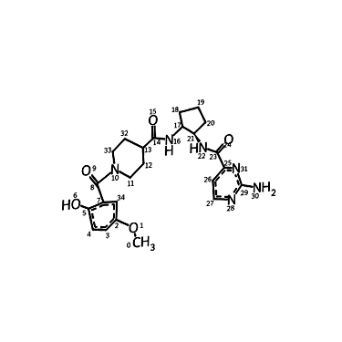 COc1ccc(O)c(C(=O)N2CCC(C(=O)NC3CCC[C@H]3NC(=O)c3ccnc(N)n3)CC2)c1